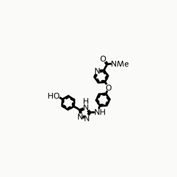 CNC(=O)c1cc(Oc2ccc(Nc3nnc(-c4ccc(O)cc4)[nH]3)cc2)ccn1